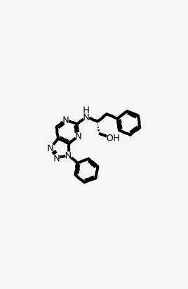 OC[C@@H](Cc1ccccc1)Nc1ncc2nnn(-c3ccccc3)c2n1